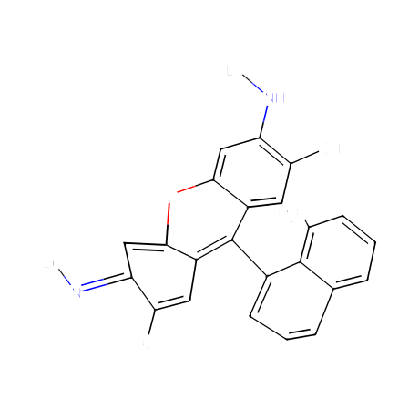 CC/N=c1\cc2oc3cc(NCC)c(C)cc3c(-c3cccc4cccc(C(=O)O)c34)c-2cc1C